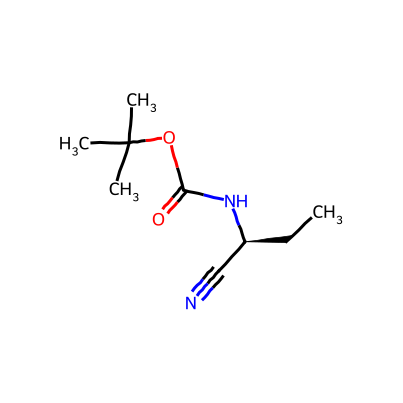 CC[C@@H](C#N)NC(=O)OC(C)(C)C